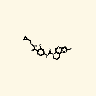 O=C(NOCC1CC1)c1ncc(NC(=O)N2CCCc3c2cnc2cc(Cl)nn32)cc1Cl